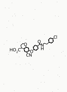 N#Cc1cc2c(cc1Oc1ccc(C(=O)NCCc3ccc(Cl)cc3)cc1)OCCC2C(=O)O